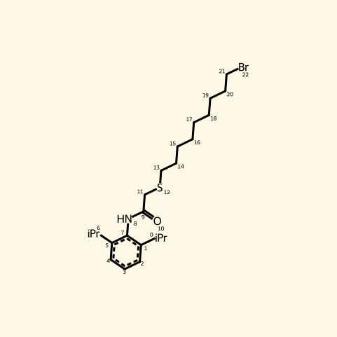 CC(C)c1cccc(C(C)C)c1NC(=O)CSCCCCCCCCCBr